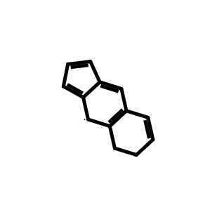 [CH]1C2=CC=CC2=CC2=C1CCC=C2